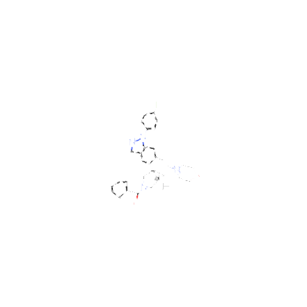 Cc1cc2c(cnn2-c2ccc(F)cc2)cc1[C@@]12CN(C(=O)c3ccccc3)C[C@@H]1[C@H]2CN1CCOCC1